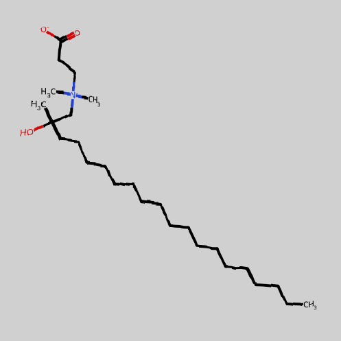 CCCCCCCCCCCCCCCCCCC(C)(O)C[N+](C)(C)CCC(=O)[O-]